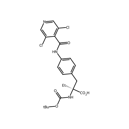 CC[C@@](Cc1ccc(NC(=O)c2c(Cl)cncc2Cl)cc1)(NC(=O)OC(C)(C)C)C(=O)O